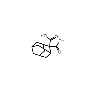 O=C(O)C1(C(=O)O)C2CC3CC(C2)CC1C3